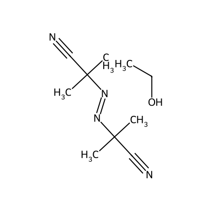 CC(C)(C#N)N=NC(C)(C)C#N.CCO